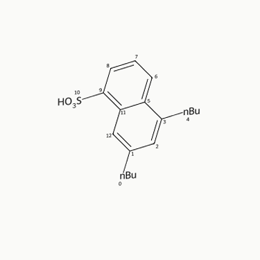 CCCCc1cc(CCCC)c2cccc(S(=O)(=O)O)c2c1